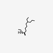 C=C(CCCCC(CC)CCC)NCC